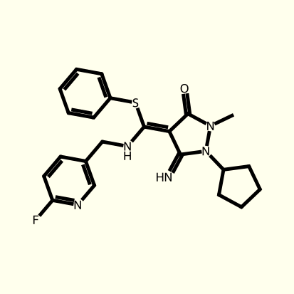 CN1C(=O)/C(=C(/NCc2ccc(F)nc2)Sc2ccccc2)C(=N)N1C1CCCC1